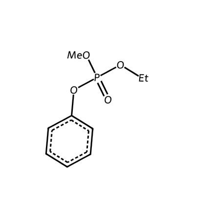 CCOP(=O)(OC)Oc1ccccc1